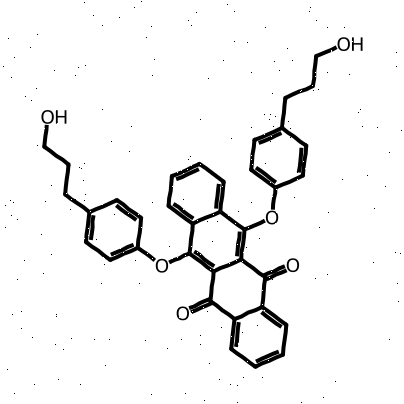 O=C1c2ccccc2C(=O)c2c1c(Oc1ccc(CCCO)cc1)c1ccccc1c2Oc1ccc(CCCO)cc1